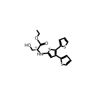 CCOC(=O)[C@H](CO)Nc1cc(-c2cccs2)c(-c2cccs2)s1